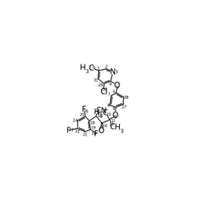 Cc1cnc(Oc2ccc(OC(C)(C)C(=O)C(C#N)c3c(F)cc(F)cc3F)cc2)c(Cl)c1